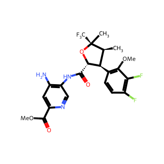 COC(=O)c1cc(N)c(NC(=O)[C@@H]2O[C@@](C)(C(F)(F)F)[C@@H](C)[C@H]2c2ccc(F)c(F)c2OC)cn1